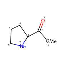 [CH2]OC(=O)C1CCCN1